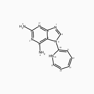 Nc1nc(N)c2c(ncn2C2=CC=CC=CN2)n1